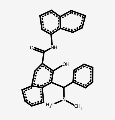 CN(C)C(c1ccccc1)c1c(O)c(C(=O)Nc2cccc3ccccc23)cc2ccccc12